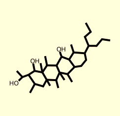 CCCC(CCC)C1CCC2C(C1C)C(O)C1C(C)C3(C)C(O)C(C(C)O)C(C)CC3(C)C(C)C1(C)C2C